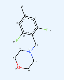 Cc1cc(F)c(CN2CCOCC2)c(F)c1